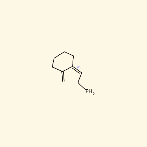 C=C1CCCC/C1=C/CP